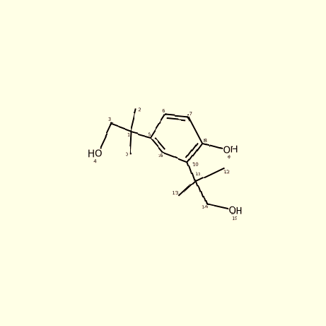 CC(C)(CO)c1c[c]c(O)c(C(C)(C)CO)c1